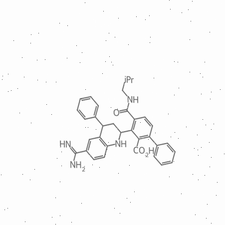 CC(C)CNC(=O)c1ccc(-c2ccccc2)c(C(=O)O)c1C1CC(c2ccccc2)c2cc(C(=N)N)ccc2N1